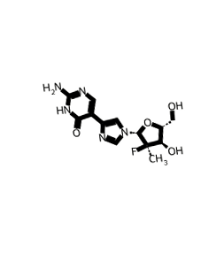 C[C@@]1(F)[C@H](O)[C@@H](CO)O[C@H]1n1cnc(-c2cnc(N)[nH]c2=O)c1